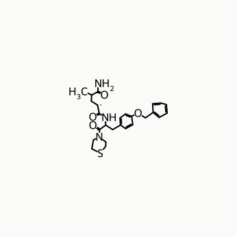 CC(C[CH]C(=O)NC(Cc1ccc(OCc2ccccc2)cc1)C(=O)N1CCSCC1)C(N)=O